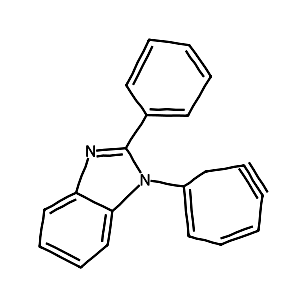 C1#CCC(n2c(-c3ccccc3)nc3ccccc32)=CC=C1